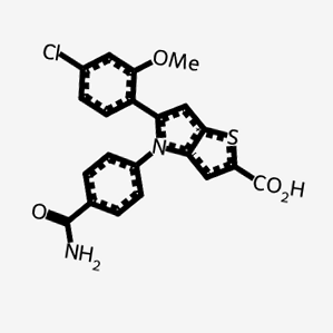 COc1cc(Cl)ccc1-c1cc2sc(C(=O)O)cc2n1-c1ccc(C(N)=O)cc1